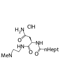 CCCCCCCC(=O)N[C@H](CC(N)=O)C(=O)NCCNC.Cl